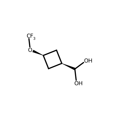 OC(O)[C@H]1C[C@@H](OC(F)(F)F)C1